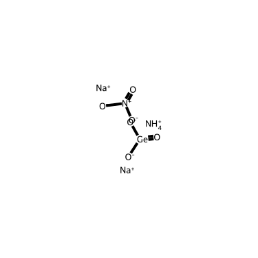 O=[N+]([O-])[O-].[NH4+].[Na+].[Na+].[O]=[Ge]([O-])[O-]